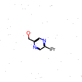 CC(C)c1cnc(C[O])cn1